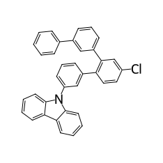 Clc1ccc(-c2cccc(-n3c4ccccc4c4ccccc43)c2)c(-c2cccc(-c3ccccc3)c2)c1